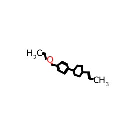 C=CCOCc1ccc(C2CCC(C=CC)CC2)cc1